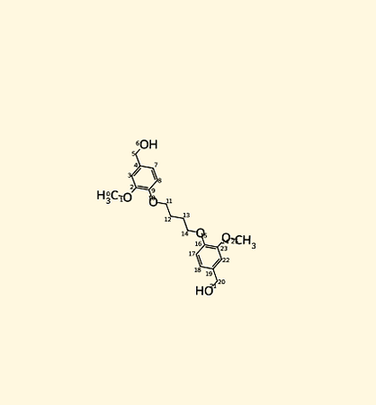 COc1cc(CO)ccc1OCCCCOc1ccc(CO)cc1OC